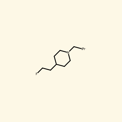 C[C](C)CN1CCC(CCF)CC1